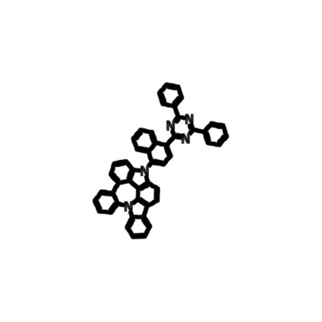 c1ccc(-c2nc(-c3ccccc3)nc(-c3ccc(-n4c5cccc6c7ccccc7n7c8ccccc8c8ccc4c(c65)c87)c4ccccc34)n2)cc1